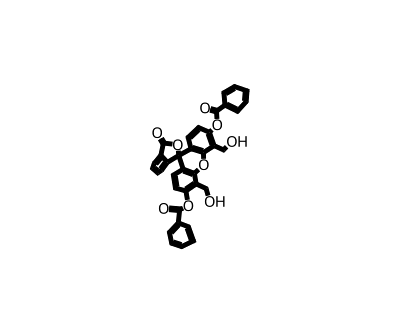 O=C(Oc1ccc2c(c1CO)Oc1c(ccc(OC(=O)c3ccccc3)c1CO)C21OC(=O)c2ccccc21)c1ccccc1